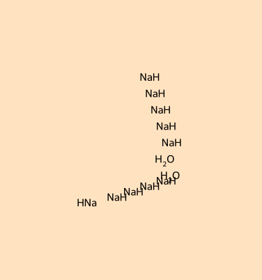 O.O.[NaH].[NaH].[NaH].[NaH].[NaH].[NaH].[NaH].[NaH].[NaH].[NaH]